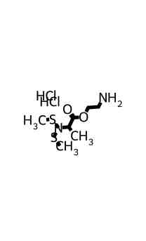 CSN(SC)C(C)C(=O)OCCN.Cl.Cl